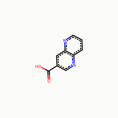 O=C(O)c1cnc2cccnc2c1